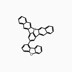 c1ccc2cc3c(cc2c1)c1cc(-c2cccc4oc5ccccc5c24)cc2c4cc5ccccc5cc4n3c12